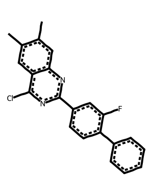 Cc1cc2nc(-c3ccc(-c4ccccc4)c(F)c3)nc(Cl)c2cc1C